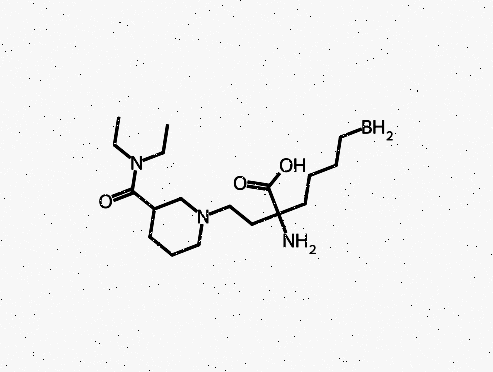 BCCCCC(N)(CCN1CCCC(C(=O)N(CC)CC)C1)C(=O)O